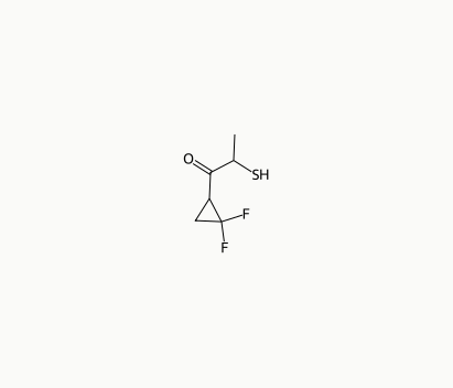 CC(S)C(=O)C1CC1(F)F